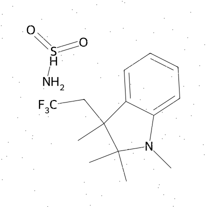 CN1c2ccccc2C(C)(CC(F)(F)F)C1(C)C.N[SH](=O)=O